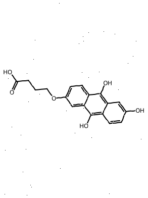 O=C(O)CCCOc1ccc2c(O)c3cc(O)ccc3c(O)c2c1